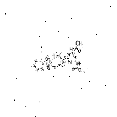 CC(=O)Nc1nc(NC(C)=O)nc(-c2ccc(S(=O)(=O)c3ccccc3)cc2)n1